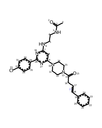 CC(=O)NCCNc1cc(N2CCN(C(=O)C/C=C/c3ccccc3)CC2)nc(-c2ccc(Cl)cc2)n1